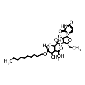 CCCCCCCCCCOC(=O)C(C)C(C(=O)O)C(C)C(=O)OC1[C@@H](CC)O[C@@H](n2ccc(=O)[nH]c2=O)[C@H]1O